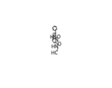 C#CCNC(=O)[C@@H]1CC[C@H]2CN1C(=O)N2OCc1ccccc1